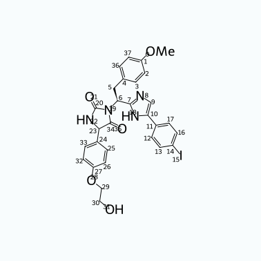 COc1ccc(C[C@@H](c2ncc(-c3ccc(I)cc3)[nH]2)N2C(=O)NC(c3ccc(OCCO)cc3)C2=O)cc1